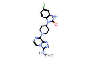 O=CNc1nnc2c(N3CCC(n4c(=O)[nH]c5cc(Cl)ccc54)CC3)nccn12